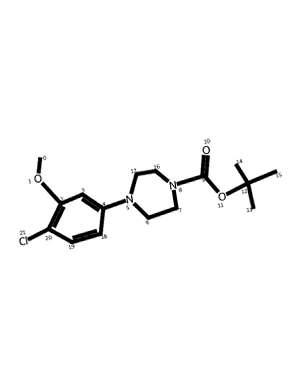 COc1cc(N2CCN(C(=O)OC(C)(C)C)CC2)ccc1Cl